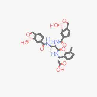 Cc1cccc([C@H](CC(=O)O)NC(=O)[C@@H](NC(=O)c2ccc3c(c2)B(O)OC3)[C@H](C)NC(=O)c2ccc3c(c2)B(O)OC3)c1